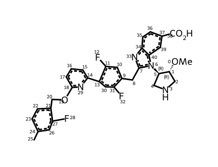 CO[C@@H]1CNC[C@H]1n1c(Cc2cc(F)c(-c3cccc(OCc4ccc(C)cc4F)n3)cc2F)nc2ccc(C(=O)O)cc21